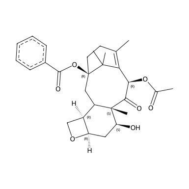 CC(=O)O[C@H]1C(=O)[C@@]2(C)C(C[C@]3(OC(=O)c4ccccc4)CCC(C)=C1C3(C)C)[C@@H]1CO[C@@H]1C[C@@H]2O